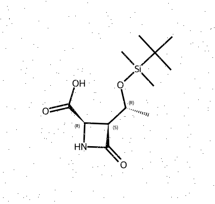 C[C@@H](O[Si](C)(C)C(C)(C)C)[C@H]1C(=O)N[C@H]1C(=O)O